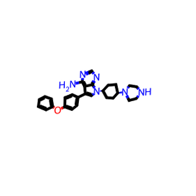 Nc1ncnc2c1c(-c1ccc(Oc3ccccc3)cc1)cn2[C@H]1CC[C@H](N2CCNCC2)CC1